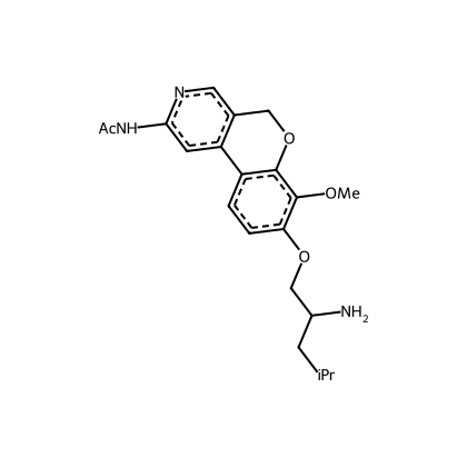 COc1c(OCC(N)CC(C)C)ccc2c1OCc1cnc(NC(C)=O)cc1-2